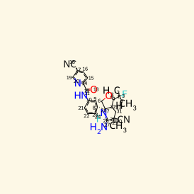 CC(C)(F)C1OC[C@]2(c3cc(NC(=O)c4ccc(C#N)cn4)ccc3F)N=C(N)[C@](C)(C#N)C[C@H]12